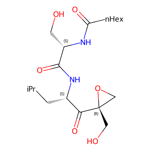 CCCCCCC(=O)N[C@@H](CO)C(=O)N[C@@H](CC(C)C)C(=O)[C@@]1(CO)CO1